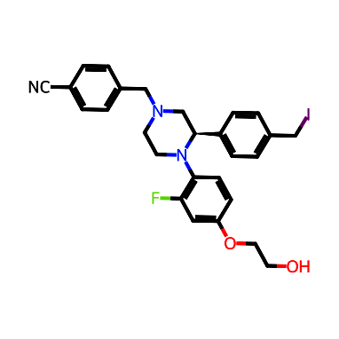 N#Cc1ccc(CN2CCN(c3ccc(OCCO)cc3F)[C@H](c3ccc(CI)cc3)C2)cc1